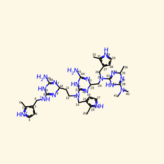 Cc1[nH]ccc1CNC1=NC(CCN(Cc2cc[nH]c2C)C2=NC(CN(Cc3cc[nH]c3C)C3=NC(C)N=C(N(C)C)N3)N=C(N)N2)N=C(N)N1